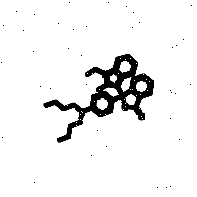 CCCCN(CCCC)c1ccc(C2(c3c(C)n(CC)c4ccccc34)OC(=O)c3ccccc32)cc1